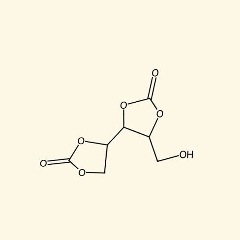 O=C1OCC(C2OC(=O)OC2CO)O1